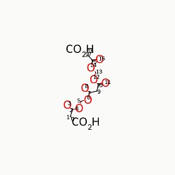 O=C(O)CC(=O)OCOC(=O)CC(=O)OCOC(=O)CC(=O)O